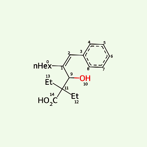 CCCCCC/C(=C/c1ccccc1)C(O)C(CC)(CC)C(=O)O